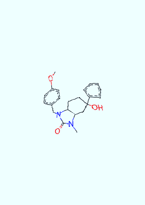 COc1ccc(CN2C(=O)N(C)C3CC(O)(c4ccccc4)CCC32)cc1